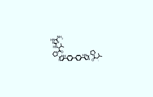 CC(C)[C@H](C)C(=O)N1CCC[C@H]1c1ncc(-c2ccc(-c3ccc(-c4cnc([C@@H]5CCCN5C(=O)[C@@H](Nc5n[nH]c(N)n5)C(C)C)[nH]4)cc3)cc2)[nH]1